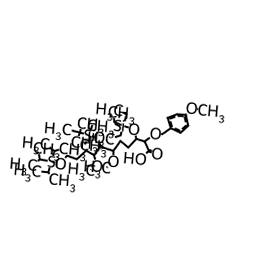 CC[Si](CC)(CC)OC(CCC(OC)C(O[Si](C)(C)C(C)(C)C)C(CCCO[Si](C(C)C)(C(C)C)C(C)C)OC)C(OCc1ccc(OC)cc1)C(=O)O